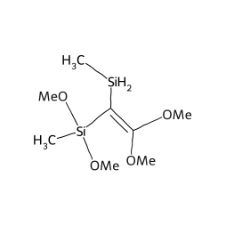 COC(OC)=C([SiH2]C)[Si](C)(OC)OC